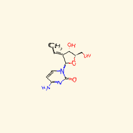 CC=C1[C@H](n2ccc(N)nc2=O)O[C@H](CO)[C@H]1O